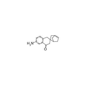 Nc1ccc2c(c1)C(=O)CC1(CC3=CCC1C3)C2